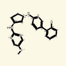 CSc1cnc(N[C@H]2CC[C@H](Nc3ccc(-c4ccccc4Cl)cn3)C2)nc1